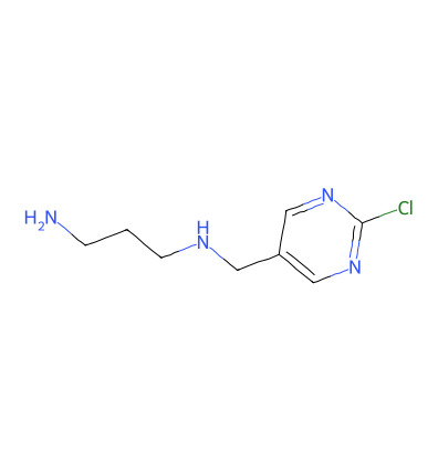 NCCCNCc1cnc(Cl)nc1